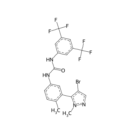 Cc1ccc(NC(=O)Nc2cc(C(F)(F)F)cc(C(F)(F)F)c2)cc1-c1c(Br)cnn1C